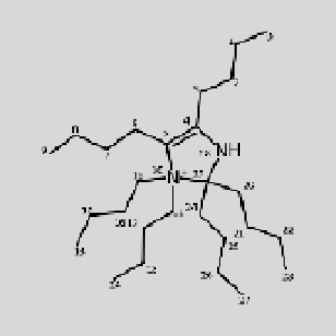 CCCCC1=C(CCCC)[N+](CCCC)(CCCC)C(CCCC)(CCCC)N1